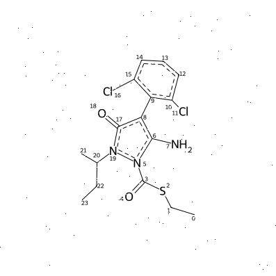 CCSC(=O)n1c(N)c(-c2c(Cl)cccc2Cl)c(=O)n1C(C)CC